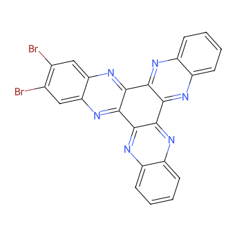 Brc1cc2nc3c4nc5ccccc5nc4c4nc5ccccc5nc4c3nc2cc1Br